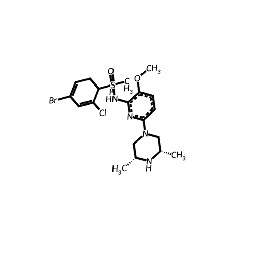 COc1ccc(N2C[C@@H](C)N[C@@H](C)C2)nc1N[SH](C)(=O)C1CC=C(Br)C=C1Cl